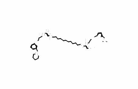 CN(C)Cc1ccc(CSCCNC(=C[N+](=O)[O-])NCCCCCCCCCCCCNC=C(NCCCOc2cccc(CN3CCCCC3)c2)[N+](=O)[O-])o1